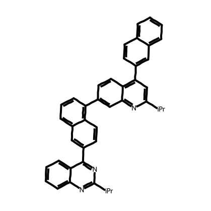 CC(C)c1cc(-c2ccc3ccccc3c2)c2ccc(-c3cccc4cc(-c5nc(C(C)C)nc6ccccc56)ccc34)cc2n1